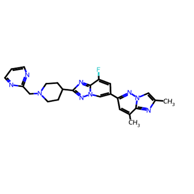 Cc1cn2nc(-c3cc(F)c4nc(C5CCN(Cc6ncccn6)CC5)nn4c3)cc(C)c2n1